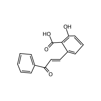 O=C(C=Cc1cccc(O)c1C(=O)O)c1ccccc1